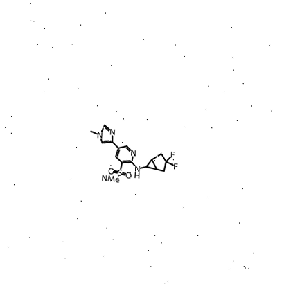 CNS(=O)(=O)c1cc(-c2cn(C)cn2)cnc1NC1C2CC(F)(F)CC21